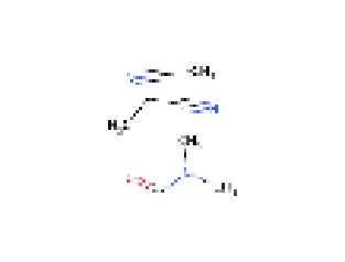 CC#N.CCC#N.CN(C)C=O